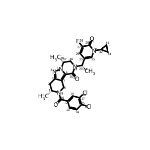 C[C@@H]1Cc2nn3c(c2CN1C(=O)c1ccc(Cl)c(Cl)c1)C(=O)N([C@@H](C)c1cc(F)c(=O)n(C2CC2)c1)C[C@H]3C